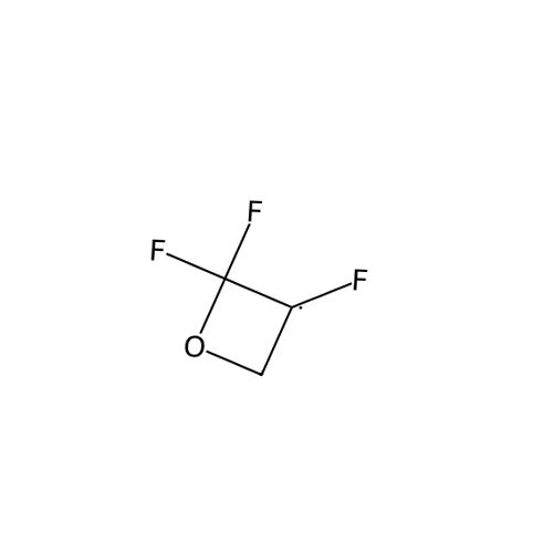 F[C]1COC1(F)F